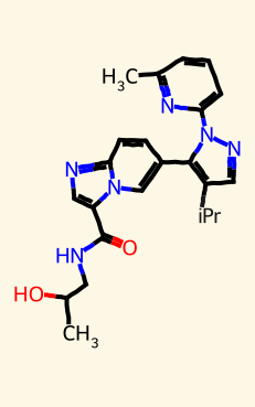 Cc1cccc(-n2ncc(C(C)C)c2-c2ccc3ncc(C(=O)NCC(C)O)n3c2)n1